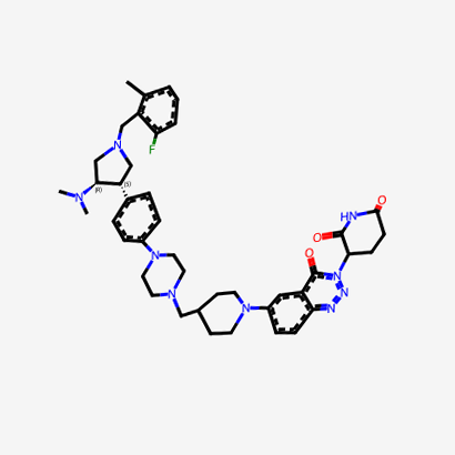 Cc1cccc(F)c1CN1C[C@H](c2ccc(N3CCN(CC4CCN(c5ccc6nnn(C7CCC(=O)NC7=O)c(=O)c6c5)CC4)CC3)cc2)[C@@H](N(C)C)C1